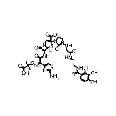 CC(C)(O/N=C(\C(=O)NC1C(=O)N2C[C@@](C(=O)O)(N3CCN(NCC(=O)NCCNC(=O)c4ccc(O)c(O)c4Cl)C3=O)S[C@H]12)c1csc(N)n1)C(=O)O